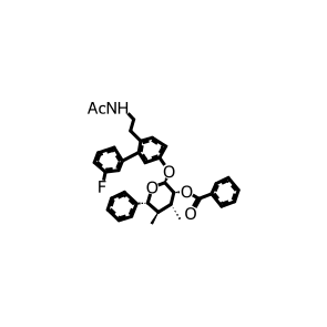 CC(=O)NCCc1ccc(O[C@@H]2O[C@@H](c3ccccc3)[C@H](C)[C@@H](C)[C@H]2OC(=O)c2ccccc2)cc1-c1cccc(F)c1